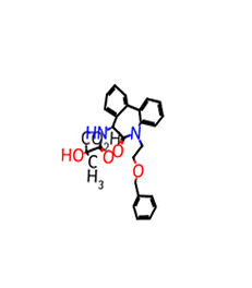 CC(O)(C(=O)O)C(=O)N[C@@H]1C(=O)N(CCOCc2ccccc2)c2ccccc2-c2ccccc21